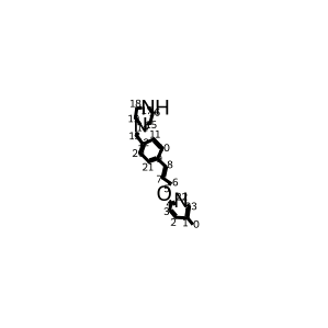 Cc1ccc(OCC=Cc2ccc(CN3CCNCC3)cc2)nc1